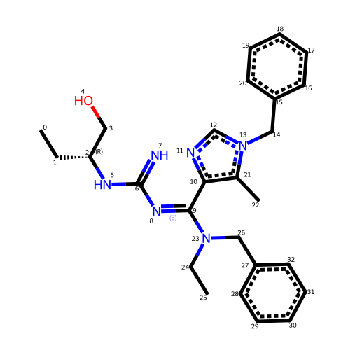 CC[C@H](CO)NC(=N)/N=C(\c1ncn(Cc2ccccc2)c1C)N(CC)Cc1ccccc1